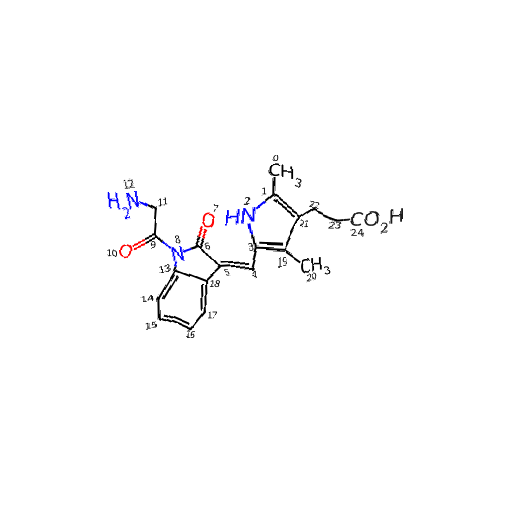 Cc1[nH]c(C=C2C(=O)N(C(=O)CN)c3ccccc32)c(C)c1CCC(=O)O